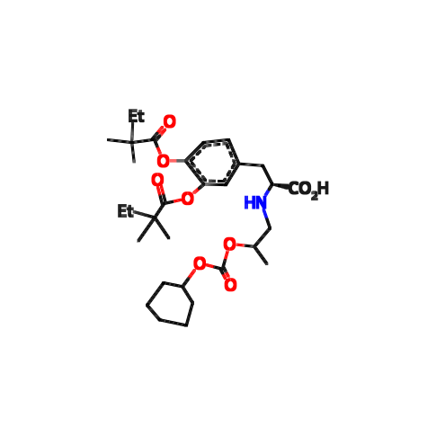 CCC(C)(C)C(=O)Oc1ccc(C[C@H](NCC(C)OC(=O)OC2CCCCC2)C(=O)O)cc1OC(=O)C(C)(C)CC